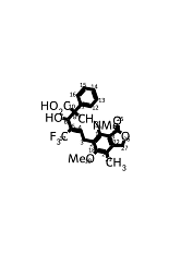 CNc1c(C/C=C(/C(O)C(C)(C(=O)O)c2ccccc2)C(F)(F)F)c(OC)c(C)c2c1C(=O)OC2